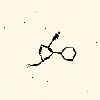 CCc1ccc(C#N)c(C2CCCCC2)c1